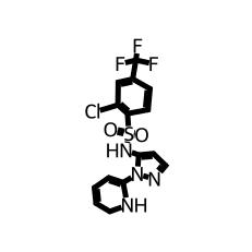 O=S(=O)(Nc1ccnn1C1=CC=CCN1)c1ccc(C(F)(F)F)cc1Cl